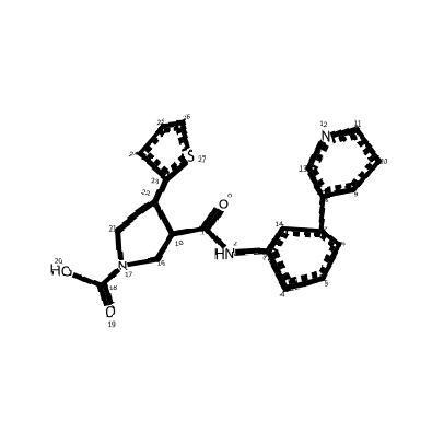 O=C(Nc1cccc(-c2cccnc2)c1)C1CN(C(=O)O)CC1c1cccs1